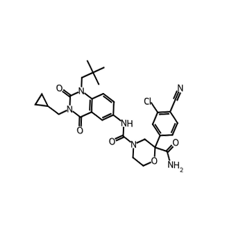 CC(C)(C)Cn1c(=O)n(CC2CC2)c(=O)c2cc(NC(=O)N3CCOC(C(N)=O)(c4ccc(C#N)c(Cl)c4)C3)ccc21